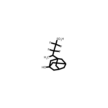 CC(C12CC3CC(CC(O)(C3)C1)C2)C(F)(F)C(F)(F)S(=O)(=O)O